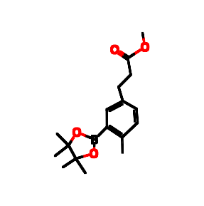 COC(=O)CCc1ccc(C)c(B2OC(C)(C)C(C)(C)O2)c1